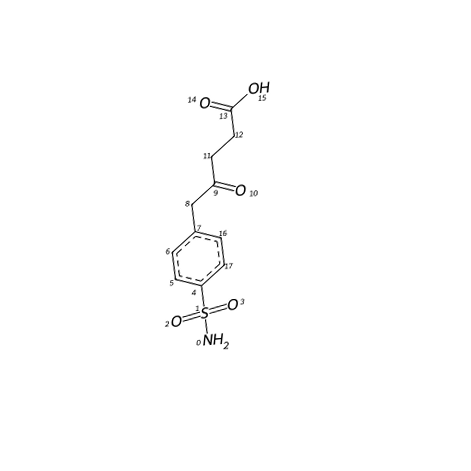 NS(=O)(=O)c1ccc(CC(=O)CCC(=O)O)cc1